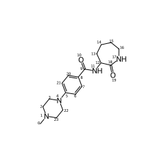 CN1CCN(c2ccc(C(=O)NC3CCCCNC3=O)cc2)CC1